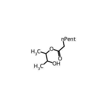 CCCCCCC(=O)OC(C)C(C)O